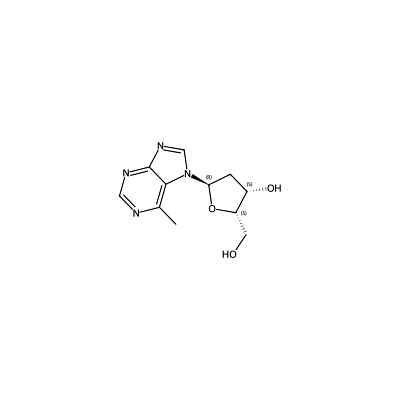 Cc1ncnc2ncn([C@H]3C[C@H](O)[C@H](CO)O3)c12